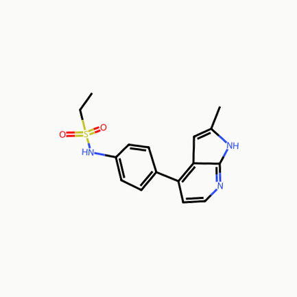 CCS(=O)(=O)Nc1ccc(-c2ccnc3[nH]c(C)cc23)cc1